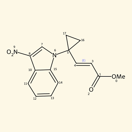 COC(=O)/C=C/C1(n2cc([N+](=O)[O-])c3ccccc32)CC1